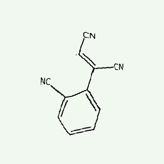 N#C[C]=C(C#N)c1ccccc1C#N